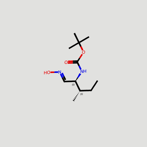 CC[C@H](C)[C@@H](C=NO)NC(=O)OC(C)(C)C